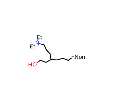 CCCCCCCCCCCCC(CCO)CCCN(CC)CC